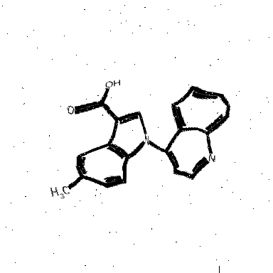 Cc1ccc2c(c1)c(C(=O)O)cn2-c1ccnc2ccccc12